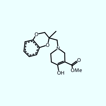 COC(=O)C1=C(O)CCN(CC2(C)COc3ccccc3O2)C1